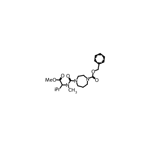 COC(=O)C(C(C)C)N(C)C(=O)N1CCCN(C(=O)OCc2ccccc2)CC1